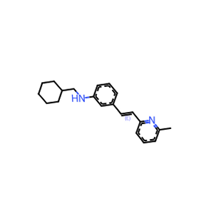 Cc1cccc(/C=C/c2cccc(NCC3CCCCC3)c2)n1